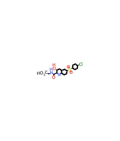 O=C(O)CNC(=O)c1nc2ccc(S(=O)(=O)c3ccc(Cl)cc3)cc2cc1O